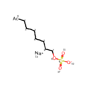 CC(=O)CCCCCCCOS(=O)(=O)[O-].[Na+]